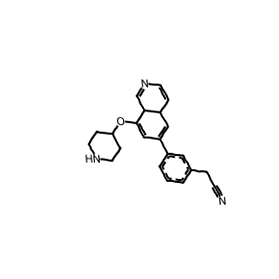 N#CCc1cccc(C2=CC3C=CN=CC3C(OC3CCNCC3)=C2)c1